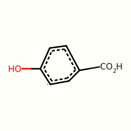 O=C(O)c1c[c]c(O)cc1